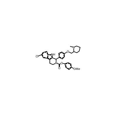 COc1ccc(OC(=O)N2CCc3c([nH]c4ccc(Cl)cc34)C2c2ccc(OCC3CCCCN3C)cc2)cc1